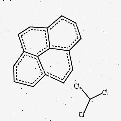 ClC(Cl)Cl.c1cc2ccc3cccc4ccc(c1)c2c34